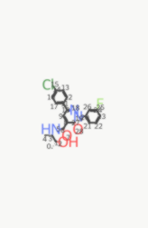 C[C@@H](O)[C@@H](C)NC(=O)c1cc(-c2ccc(Cl)cc2)nn(-c2cccc(F)c2)c1=O